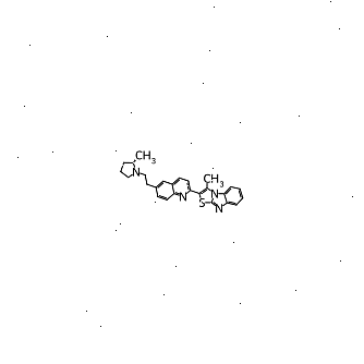 Cc1c(-c2ccc3cc(CCN4CCC[C@H]4C)ccc3n2)sc2nc3ccccc3n12